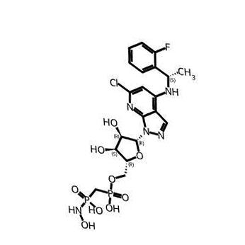 C[C@H](Nc1cc(Cl)nc2c1cnn2[C@@H]1O[C@H](COP(=O)(O)CP(=O)(O)NO)[C@@H](O)[C@H]1O)c1ccccc1F